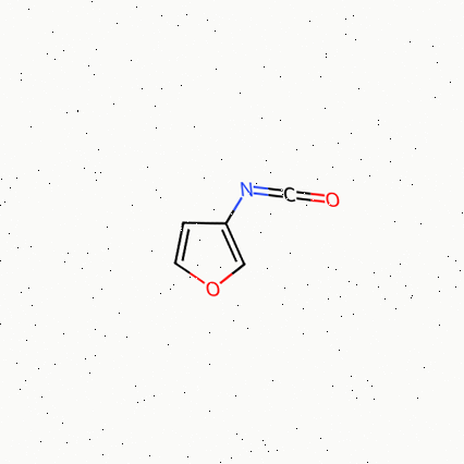 O=C=Nc1ccoc1